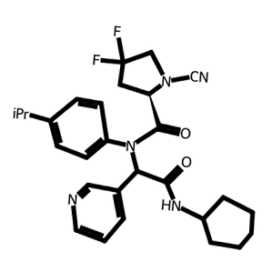 CC(C)c1ccc(N(C(=O)[C@H]2CC(F)(F)CN2C#N)C(C(=O)NC2CCCCC2)c2cccnc2)cc1